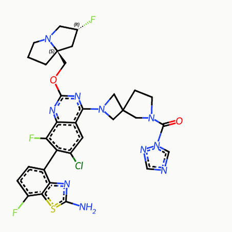 Nc1nc2c(-c3c(Cl)cc4c(N5CC6(CCN(C(=O)n7cncn7)C6)C5)nc(OC[C@@]56CCCN5C[C@H](F)C6)nc4c3F)ccc(F)c2s1